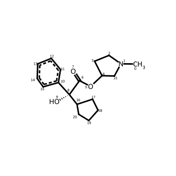 CN1CCC(OC(=O)[C@](O)(c2ccccc2)C2CCCC2)C1